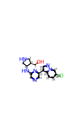 OC[C@@H]1CNC[C@@H]1Nc1cncc(-c2cnn3cc(Cl)ccc23)n1